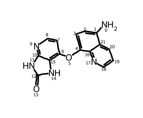 Nc1ccc(Oc2ccnc3[nH]c(=O)[nH]c23)c2ncccc12